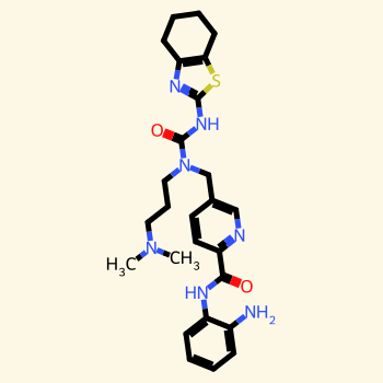 CN(C)CCCN(Cc1ccc(C(=O)Nc2ccccc2N)nc1)C(=O)Nc1nc2c(s1)CCCC2